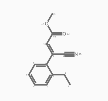 CCc1ccccc1C(C#N)=CC(=O)OC